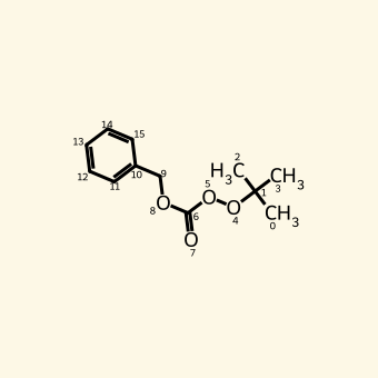 CC(C)(C)OOC(=O)OCc1ccccc1